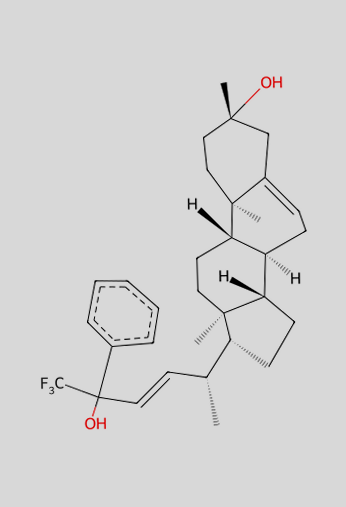 C[C@H](/C=C/C(O)(c1ccccc1)C(F)(F)F)[C@H]1CC[C@H]2[C@@H]3CC=C4C[C@@](C)(O)CC[C@]4(C)[C@H]3CC[C@]12C